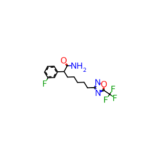 NC(=O)C(CCCCCc1noc(C(F)(F)F)n1)c1cccc(F)c1